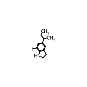 CCC(C)c1cc(I)c2c(c1)CCN2